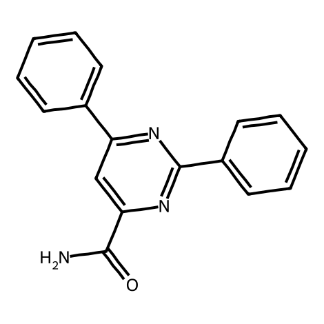 NC(=O)c1cc(-c2ccccc2)nc(-c2ccccc2)n1